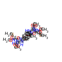 COC(=O)N[C@@H](CCSC)C(=O)N1CN(S(C)(=O)=O)C[C@H]1c1nc2cc(-c3cc4ccc3CCc3ccc(c(-c5ccc6[nH]c([C@@H]7CN(S(C)(=O)=O)CN7C(=O)[C@H](CCSC)NC(=O)OC)nc6c5)c3)C[C@H]4C)ccc2[nH]1